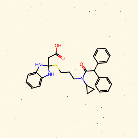 O=C(O)CC1(SCCCN(C(=O)C(c2ccccc2)c2ccccc2)C2CC2)Nc2ccccc2N1